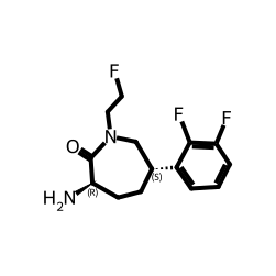 N[C@@H]1CC[C@@H](c2cccc(F)c2F)CN(CCF)C1=O